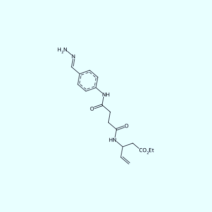 C=CC(CC(=O)OCC)NC(=O)CCC(=O)Nc1ccc(C=NN)cc1